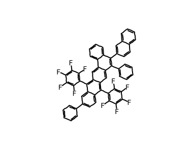 Fc1c(F)c(F)c(-c2c3ccc(-c4ccccc4)cc3c(-c3c(F)c(F)c(F)c(F)c3F)c3cc4c(cc23)c(-c2ccccc2)c(-c2ccc3ccccc3c2)c2ccccc24)c(F)c1F